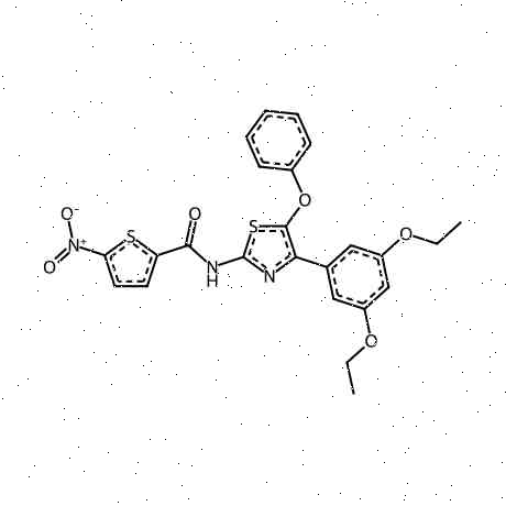 CCOc1cc(OCC)cc(-c2nc(NC(=O)c3ccc([N+](=O)[O-])s3)sc2Oc2ccccc2)c1